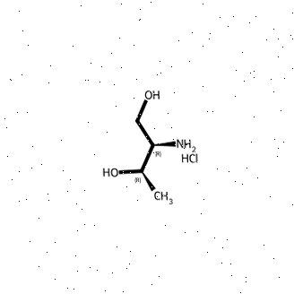 C[C@@H](O)[C@H](N)CO.Cl